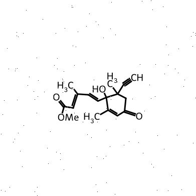 C#CC1(C)CC(=O)C=C(C)C1(O)C=CC(C)=CC(=O)OC